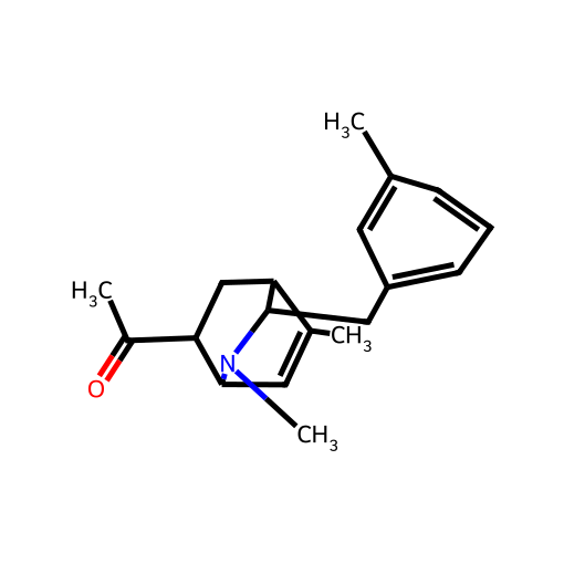 CC(=O)C1CC2C(C)=CC1N(C)C2Cc1cccc(C)c1